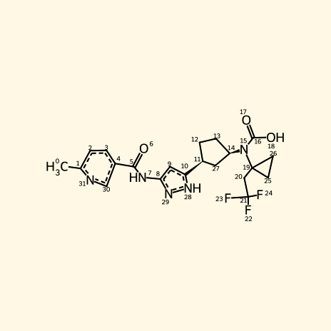 Cc1ccc(C(=O)Nc2cc([C@H]3CC[C@@H](N(C(=O)O)C4(CC(F)(F)F)CC4)C3)[nH]n2)cn1